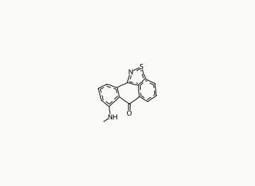 CNc1cccc2c1C(=O)c1cccc3snc-2c13